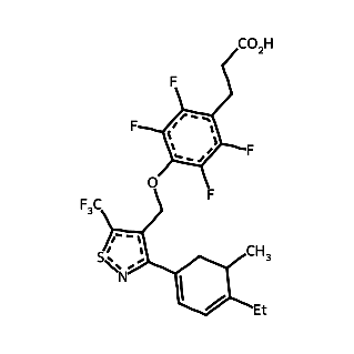 CCC1=CC=C(c2nsc(C(F)(F)F)c2COc2c(F)c(F)c(CCC(=O)O)c(F)c2F)CC1C